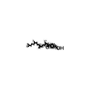 CC(C)=CCCC(C)=CCCC(C)=CCCC(C)CC(=O)N1CCN(CCO)CC1